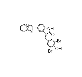 O=C1Nc2ccc(-c3cn4ccccc4n3)cc2/C1=C/c1cc(Br)c(O)c(Br)c1